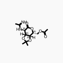 CC(=N)N[C@H]1C(=O)O[C@H](COC(C)=O)[C@@H]2OC(C)(C)O[C@@H]21